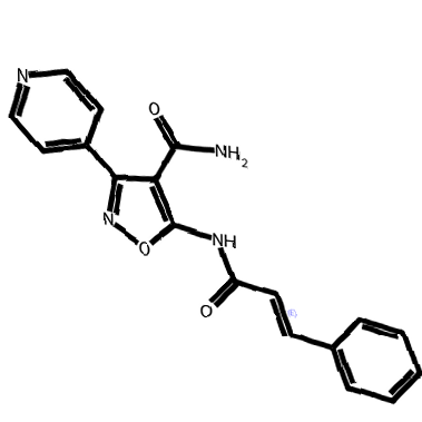 NC(=O)c1c(-c2ccncc2)noc1NC(=O)/C=C/c1ccccc1